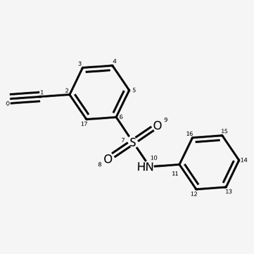 C#Cc1cccc(S(=O)(=O)Nc2ccccc2)c1